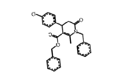 CC1=C(C(=O)OCc2ccccc2)C(c2ccc(Cl)cc2)CC(=O)N1Cc1ccccc1